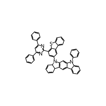 C1=CC2c3cc4c5ccccc5n(-c5ccccc5)c4cc3N(c3cc(-c4nc(-c5ccccc5)cc(-c5ccccc5)n4)c4sc5ccccc5c4c3)C2C=C1